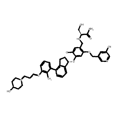 Cc1c(OCCCN2CCC(O)CC2)cccc1-c1cccc2c1CC[C@@H]2Oc1cc(OCc2cncc(C#N)c2)c(CN[C@@H](CO)C(N)=O)cc1Cl